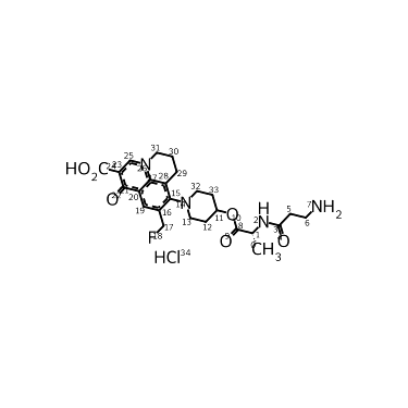 C[C@@H](NC(=O)CCN)C(=O)OC1CCN(c2c(CF)cc3c(=O)c(C(=O)O)cn4c3c2CCC4)CC1.Cl